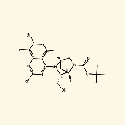 CC(C)(C)OC(=O)N1C[C@@H]2C[C@H]1[C@H](CO)N2c1nc(Cl)nc2c(F)c(Br)cc(F)c12